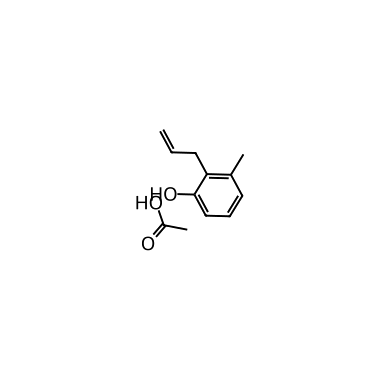 C=CCc1c(C)cccc1O.CC(=O)O